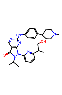 CC(CO)c1cccc(-n2c3nc(Nc4ccc(C5CCN(C)CC5)cc4)ncc3c(=O)n2C(C)C)n1